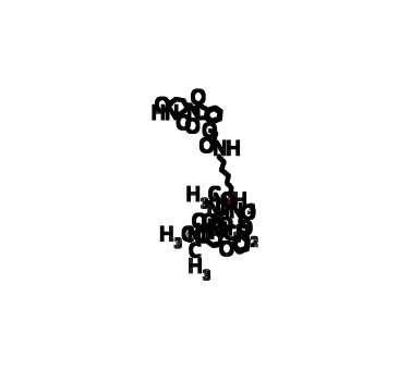 C=C(NS(=O)(=O)c1cn(C)c(C)n1)/C(=C\c1c(C)n(C)c(=O)n1C)Oc1cccc(OCC(=O)NCCCCCCCCNC(=O)COc2cccc3c2C(=O)N(C2CCC(=O)NC2=O)C3=O)c1